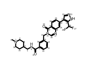 CN1CCC(CNC(=O)c2cccc(Cn3cnc4cc(-c5cn[nH]c5C(F)F)ccc4c3=O)c2)CC1